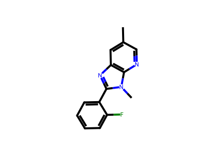 Cc1cnc2c(c1)nc(-c1ccccc1F)n2C